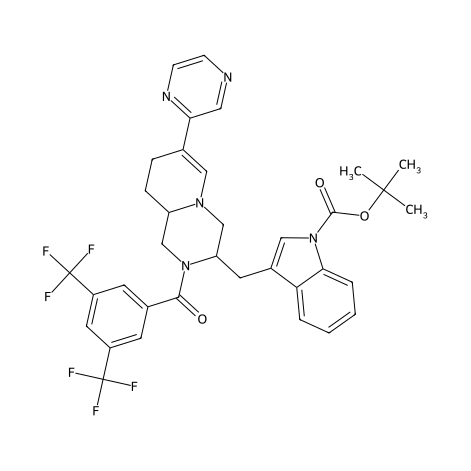 CC(C)(C)OC(=O)n1cc(CC2CN3C=C(c4cnccn4)CCC3CN2C(=O)c2cc(C(F)(F)F)cc(C(F)(F)F)c2)c2ccccc21